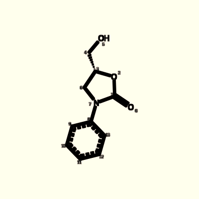 O=C1O[C@@H](CO)CN1c1ccccc1